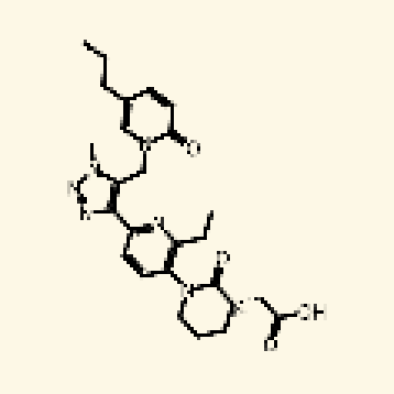 CCCc1ccc(=O)n(Cc2c(-c3ccc(N4CCC[C@@H](CC(=O)O)C4=O)c(CC)n3)nnn2C)c1